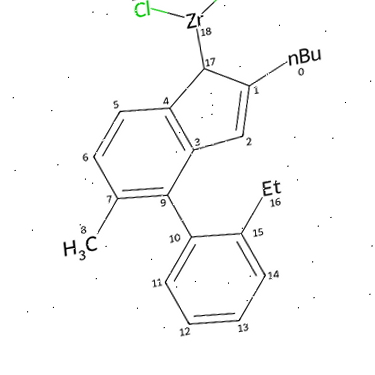 CCCCC1=Cc2c(ccc(C)c2-c2ccccc2CC)[CH]1[Zr]([Cl])[Cl]